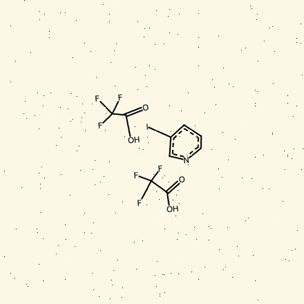 Ic1cccnc1.O=C(O)C(F)(F)F.O=C(O)C(F)(F)F